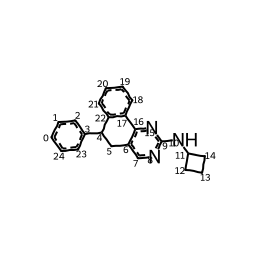 c1ccc(C2Cc3cnc(NC4CCC4)nc3-c3ccccc32)cc1